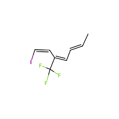 C/C=C/C=C(\C=C/I)C(F)(F)F